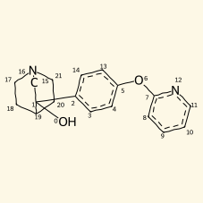 OC1(c2ccc(Oc3ccccn3)cc2)CN2CCC1CC2